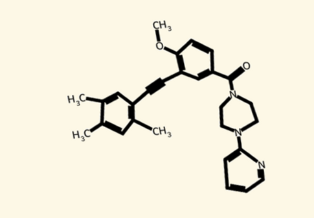 COc1ccc(C(=O)N2CCN(c3ccccn3)CC2)cc1C#Cc1cc(C)c(C)cc1C